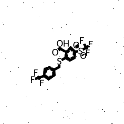 O=C(O)c1cc(S(=O)(=O)C(F)(F)F)ccc1SCc1ccc(C(F)(F)F)cc1